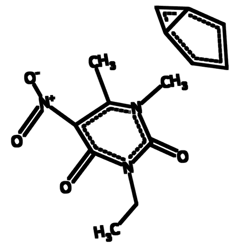 CCn1c(=O)c([N+](=O)[O-])c(C)n(C)c1=O.c1cc2cc-2c1